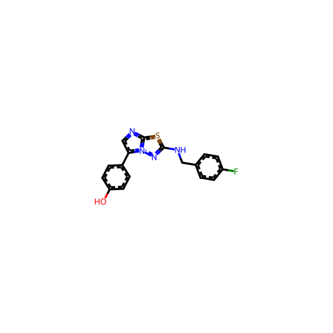 Oc1ccc(-c2cnc3sc(NCc4ccc(F)cc4)nn23)cc1